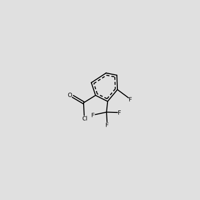 O=C(Cl)c1cccc(F)c1C(F)(F)F